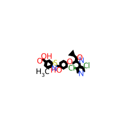 Cc1cc(C(=O)O)cc2sc(C3(O)CCC(OCc4c(-c5c(Cl)cncc5Cl)noc4C4CC4)CC3)nc12